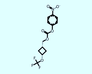 O=C(OC[C@H]1C[C@@H](OC(F)(F)F)C1)Oc1ccc([N+](=O)[O-])cc1